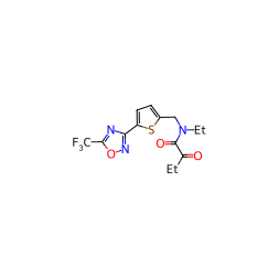 CCC(=O)C(=O)N(CC)Cc1ccc(-c2noc(C(F)(F)F)n2)s1